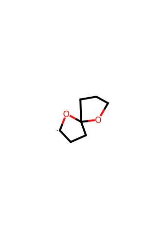 [CH]1CCC2(CCCO2)O1